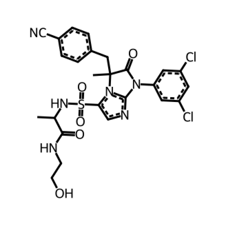 CC(NS(=O)(=O)c1cnc2n1C(C)(Cc1ccc(C#N)cc1)C(=O)N2c1cc(Cl)cc(Cl)c1)C(=O)NCCO